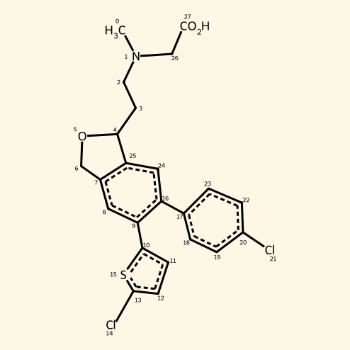 CN(CCC1OCc2cc(-c3ccc(Cl)s3)c(-c3ccc(Cl)cc3)cc21)CC(=O)O